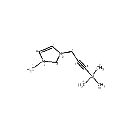 CN1[CH]N(CC#C[Si](C)(C)C)C=C1